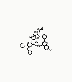 C=C[C@H]1C[C@]1(NC(=O)[C@@H]1C[C@@H](Oc2cc(-c3ccccc3)nc3cc(OC)ccc23)CN1C(=O)C[C@@H](CC1CCCC1)C(=O)N1CCCCC1)C(=O)NS(=O)(=O)C1CC1